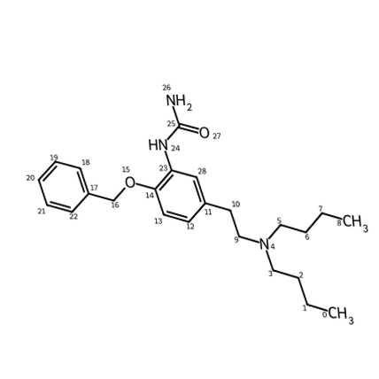 CCCCN(CCCC)CCc1ccc(OCc2ccccc2)c(NC(N)=O)c1